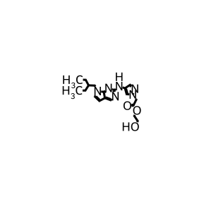 CCC(CC)Cn1ccc2cnc(Nc3cnn(CC(=O)OCCO)c3)nc21